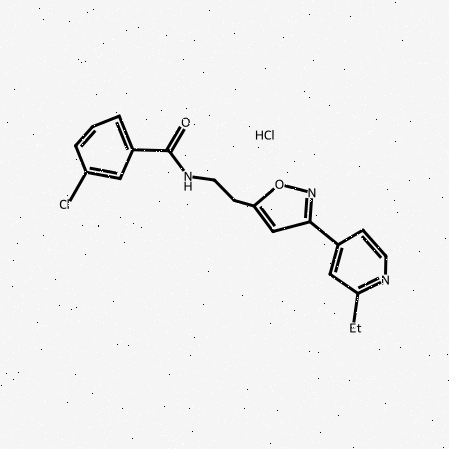 CCc1cc(-c2cc(CCNC(=O)c3cccc(Cl)c3)on2)ccn1.Cl